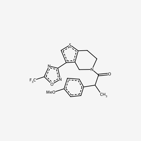 COc1ccc(C(C)C(=O)N2CCc3scc(-c4noc(C(F)(F)F)n4)c3C2)cc1